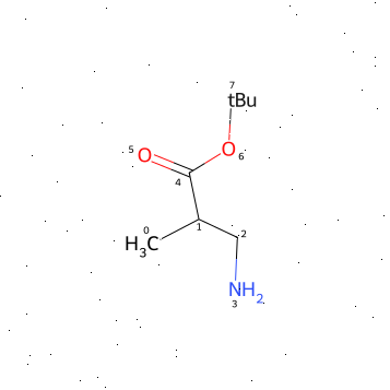 CC(CN)C(=O)OC(C)(C)C